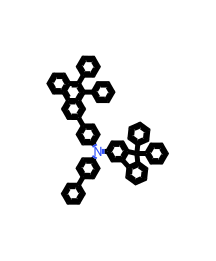 c1ccc(-c2ccc(N(c3ccc(-c4ccc5c(c4)c(-c4ccccc4)c(-c4ccccc4)c4ccccc45)cc3)c3ccc4c(c3)-c3ccccc3C4(c3ccccc3)c3ccccc3)cc2)cc1